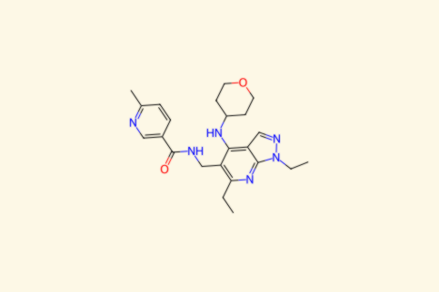 CCc1nc2c(cnn2CC)c(NC2CCOCC2)c1CNC(=O)c1ccc(C)nc1